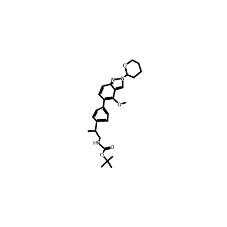 COc1c(-c2ccc(C(C)CNC(=O)OC(C)(C)C)cc2)ccc2nn(C3CCCCO3)cc12